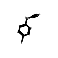 N#C[N+]c1ccc(F)cc1